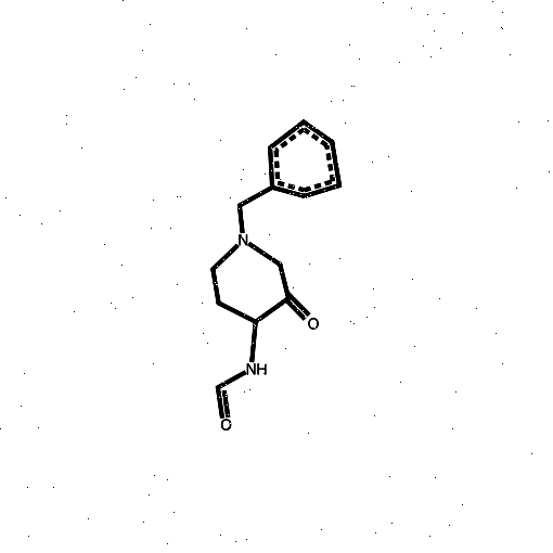 O=CNC1CCN(Cc2ccccc2)CC1=O